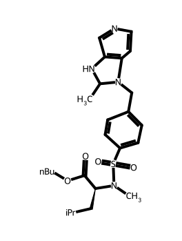 CCCCOC(=O)[C@H](CC(C)C)N(C)S(=O)(=O)c1ccc(CN2c3ccncc3NC2C)cc1